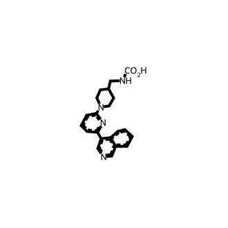 O=C(O)NCC1CCN(c2cccc(-c3cncc4ccccc34)n2)CC1